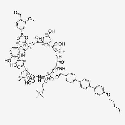 CCCCCOc1ccc(-c2ccc(-c3ccc(C(=O)N[C@H]4C[C@@H](O)[C@@H](OCC[N+](C)(C)C)NC(=O)[C@@H]5[C@@H](O)[C@@H](C)CN5C(=O)[C@H]([C@@H](C)O)NC(=O)[C@H]([C@@H]5OB(c6ccc(C=O)c(OC)c6)O[C@H]5c5ccc(O)cc5)NC(=O)[C@@H]5C[C@@H](O)CN5C(=O)[C@H]([C@@H](C)O)NC4=O)cc3)cc2)cc1